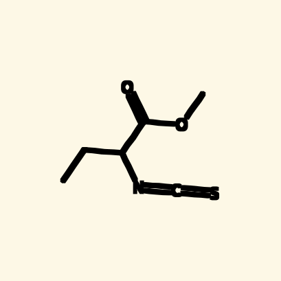 CCC(N=C=S)C(=O)OC